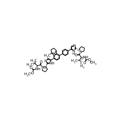 COC(=O)NC(C(=O)N1CCC[C@@H]1c1ncc(-c2ccc(-c3ccc(-c4cnc([C@@H]5CCCN5C(=O)[C@@H](NC(=O)OC)C(C)C)[nH]4)cc3)c3c2C2(C)CCC3C2)[nH]1)C(C)C